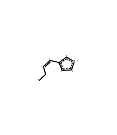 CC/C=C\c1ccsc1